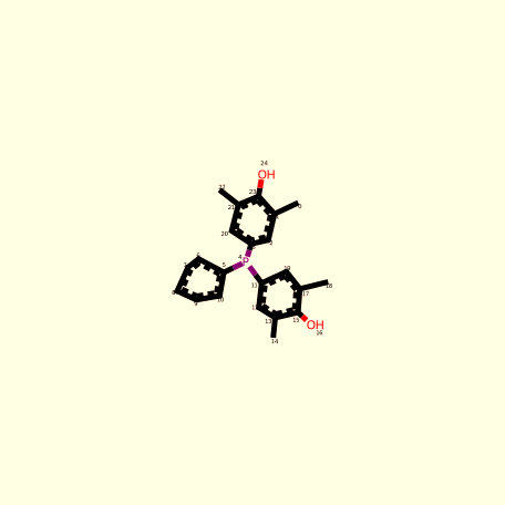 Cc1cc(P(c2ccccc2)c2cc(C)c(O)c(C)c2)cc(C)c1O